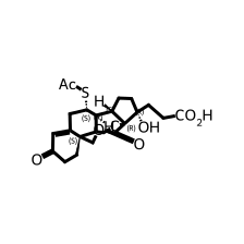 CC(=O)S[C@H]1CC2=CC(=O)CC[C@@]23COC(=O)[C@]24CCC3[C@@H]1[C@@H]2CC[C@@]4(O)CCC(=O)O